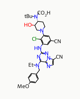 CCN(Cc1ccc(OC)cc1)c1nc(Nc2cc(C#N)cc(N3CC[C@@H](N(C(=O)O)C(C)(C)C)[C@H](O)C3)c2Cl)nn2c(C#N)cnc12